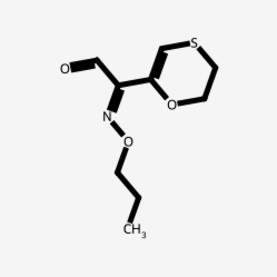 CCCO/N=C(/[C]=O)C1=CSCCO1